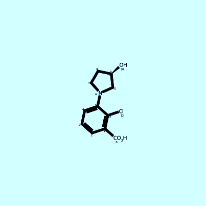 O=C(O)c1cccc(N2CC[C@@H](O)C2)c1Cl